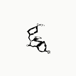 COc1ccc(CN2C(=O)Cc3cc(Br)ccc3C2=O)cc1